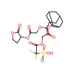 O=C(COC(=O)C12CC3CC(C1)C(OC(=O)COC(=O)C(F)(F)S(=O)(=O)O)C(C3)C2)OC1CCOC1=O